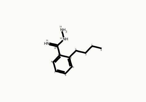 CCCCc1ccccc1C(=N)NN